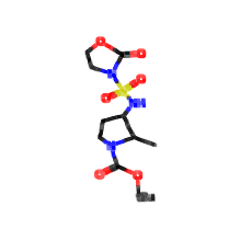 CC1C(NS(=O)(=O)N2CCOC2=O)CCN1C(=O)OC(C)(C)C